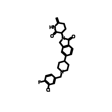 C=C1CCC(N2Cc3cc(C4CCN(Cc5ccc(F)c(Cl)c5)CC4)ccc3C2=O)C(=O)N1